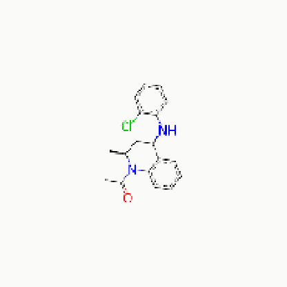 CC(=O)N1c2ccccc2[C@H](Nc2ccccc2Cl)C[C@@H]1C